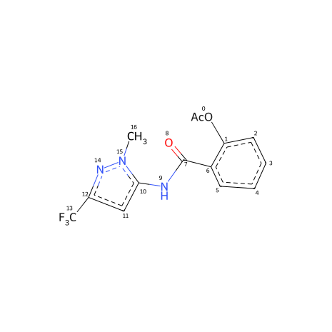 CC(=O)Oc1ccccc1C(=O)Nc1cc(C(F)(F)F)nn1C